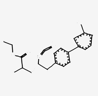 CCOC(=O)C(C)C[C@@H](Cc1ccc(-c2cccc(Cl)c2)cc1)N=C=O